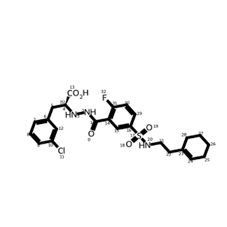 O=C(NN[C@@H](Cc1cccc(Cl)c1)C(=O)O)c1cc(S(=O)(=O)NCCC2=CCCCC2)ccc1F